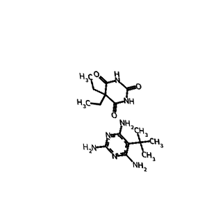 CC(C)(C)c1c(N)nc(N)nc1N.CCC1(CC)C(=O)NC(=O)NC1=O